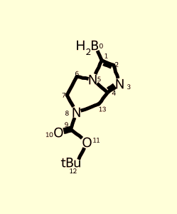 Bc1cnc2n1CCN(C(=O)OC(C)(C)C)C2